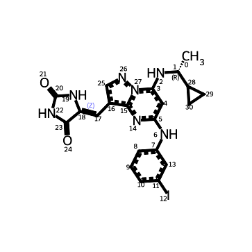 C[C@@H](Nc1cc(Nc2cccc(I)c2)nc2c(/C=C3\NC(=O)NC3=O)cnn12)C1CC1